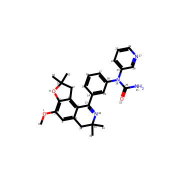 COc1cc2c(c3c1OC(C)(C)C3)C(c1cccc(N(C(N)=O)c3cccnc3)c1)=NC(C)(C)C2